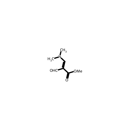 COC(=O)C(C=O)=CN(C)C